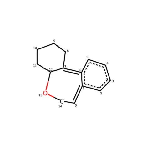 C1=c2ccccc2=C2CCCCC2OC1